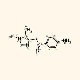 CCCn1cnc(C[S+]([O-])c2ccc(N)cc2)c1C